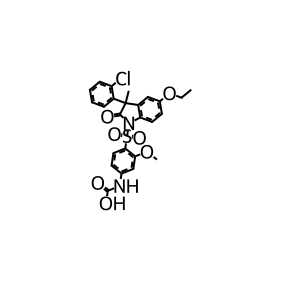 CCOc1ccc2c(c1)C(C)(c1ccccc1Cl)C(=O)N2S(=O)(=O)c1ccc(NC(=O)O)cc1OC